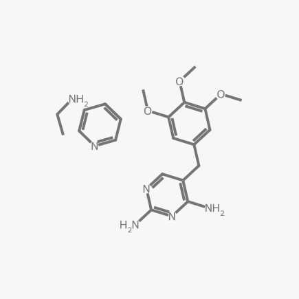 CCN.COc1cc(Cc2cnc(N)nc2N)cc(OC)c1OC.c1ccncc1